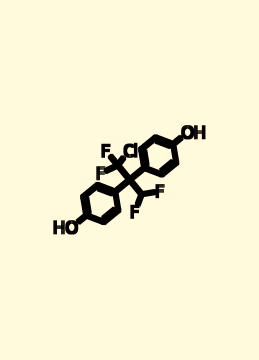 Oc1ccc(C(c2ccc(O)cc2)(C(F)F)C(F)(F)Cl)cc1